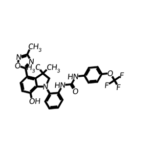 Cc1noc(-c2ccc(O)c3c2C(C)(C)CN3c2ccccc2NC(=O)Nc2ccc(OC(F)(F)F)cc2)n1